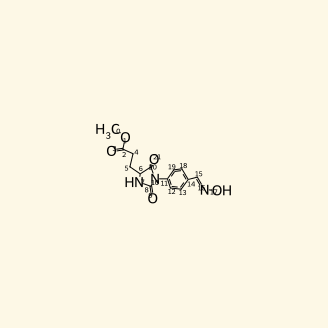 COC(=O)CCC1NC(=O)N(c2ccc(C=NO)cc2)C1=O